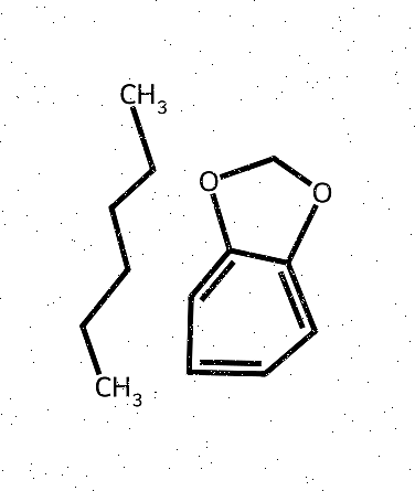 CCCCCC.c1ccc2c(c1)OCO2